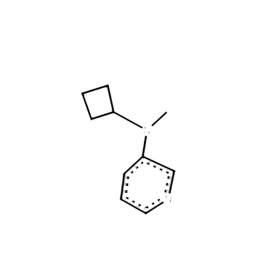 CN(c1cccnc1)C1CCC1